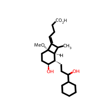 CO[C@@]12CC[C@H](O)[C@@H](CCC(O)C3CCCCC3)[C@@H]1C(C)C2=CCCC(=O)O